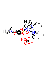 CCCN(CCC)CCN(CCN(CCC)CCC)C(=O)N(CCS(=O)(=O)c1ccc(OCCN(C)C)cc1)C(C)C.O=C(O)C(=O)O